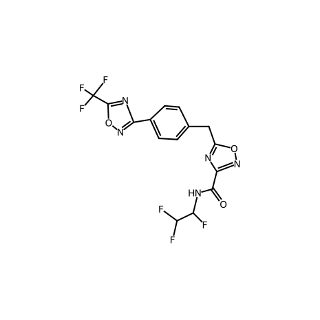 O=C(NC(F)C(F)F)c1noc(Cc2ccc(-c3noc(C(F)(F)F)n3)cc2)n1